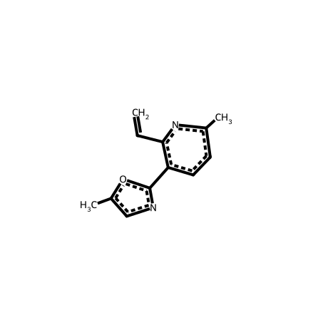 C=Cc1nc(C)ccc1-c1ncc(C)o1